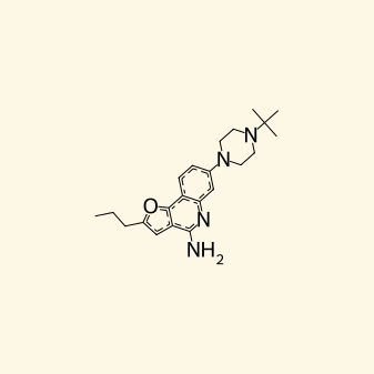 CCCc1cc2c(N)nc3cc(N4CCN(C(C)(C)C)CC4)ccc3c2o1